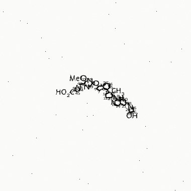 COc1nc(O[C@@H]2CCc3c(-c4cccc(Nc5nccc6cc(CN7CC[C@@H](O)C7)cnc56)c4C)cccc32)cnc1CN1CC[C@@H](C(=O)O)C1